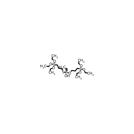 CCO[Si](CCCO[PH](O)(CC)SCCC[Si](OCC)(OCC)OCC)(OCC)OCC